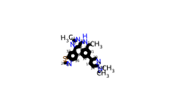 Cc1nc(NC(C)c2cccc(-c3ccc(N(C)C)nc3)c2)cc(-c2ccc3ncsc3c2)n1